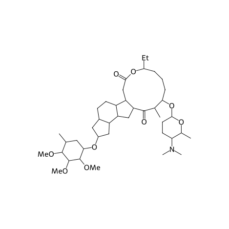 CCC1CCCC(OC2CCC(N(C)C)C(C)O2)C(C)C(=O)C2CC3C4CC(OC5CC(C)C(OC)C(OC)C5OC)CC4CCC3C2CC(=O)O1